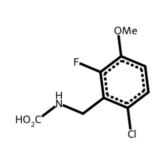 COc1ccc(Cl)c(CNC(=O)O)c1F